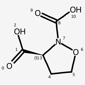 O=C(O)[C@@H]1CCON1C(=O)O